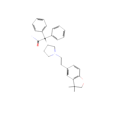 [2H]C1([2H])COc2ccc(CCN3CC[C@@H](C(C(N)=O)(c4ccccc4)c4ccccc4)C3)cc21